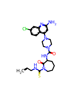 C=CCNC(=S)N1CCCCC(NC(=O)N2CCN(c3cc(N)nc4cc(Cl)ccc34)CC2)C1=O